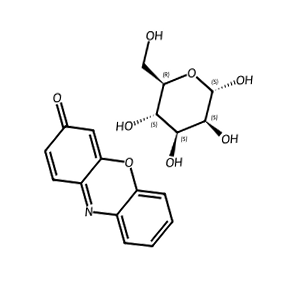 O=c1ccc2nc3ccccc3oc-2c1.OC[C@H]1O[C@H](O)[C@@H](O)[C@@H](O)[C@@H]1O